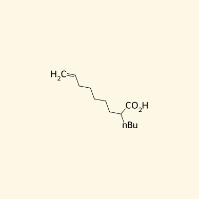 C=CCCCCCC(CCCC)C(=O)O